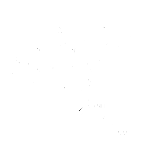 CN[C@@H](C)C(=O)N[C@H](C(=O)N1CCC[C@H]1CN(CCc1ccc(F)cc1)C(=O)c1cn2c(n1)NCC=C2)C(C)(C)C